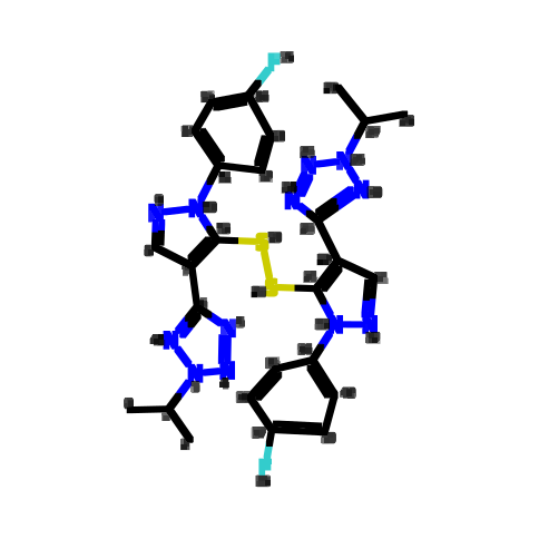 CC(C)n1nnc(-c2cnn(-c3ccc(F)cc3)c2SSc2c(-c3nnn(C(C)C)n3)cnn2-c2ccc(F)cc2)n1